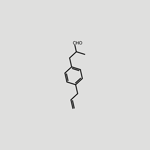 C=CCc1ccc(CC(C)C=O)cc1